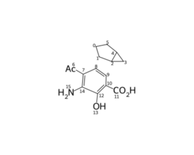 C1CC2CC2C1.CC(=O)c1ccc(C(=O)O)c(O)c1N